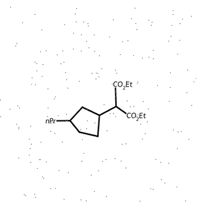 CCCC1CCC(C(C(=O)OCC)C(=O)OCC)C1